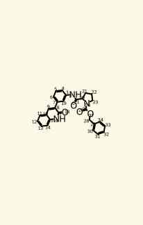 O=C(Nc1cccc(-c2cc3ccccc3[nH]c2=O)c1)C1CCCN1C(=O)OCc1ccccc1